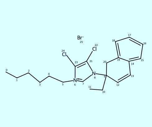 CCCCCC[n+]1cn(C2(CC)C=Cc3ccccc3C2)c(Cl)c1Cl.[Br-]